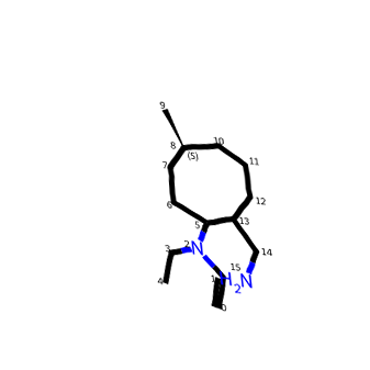 C=CN(CC)C1CC[C@@H](C)CCCC1CN